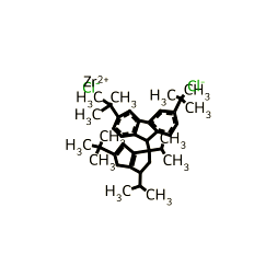 CC(C)C1CC(C(C)C)(C2c3ccc(C(C)(C)C)cc3-c3cc(C(C)(C)C)ccc32)C2=C1CC(C(C)(C)C)=C2.[Cl-].[Cl-].[Zr+2]